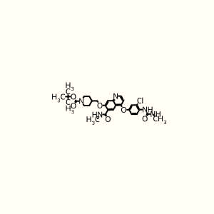 CNC(=O)Nc1ccc(Oc2ccnc3cc(OCC4CCN(C(=O)OC(C)(C)C)CC4)c(C(=O)NC)cc23)cc1Cl